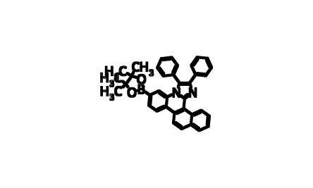 CC1(C)OB(c2ccc3c4ccc5ccccc5c4c4nc(-c5ccccc5)c(-c5ccccc5)n4c3c2)OC1(C)C